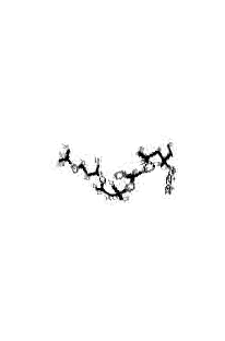 CCC(C)(CC(C)OC(=O)OC(C)(C)CC(C)OC(C)CCOC(C)C)N=[N+]=[N-]